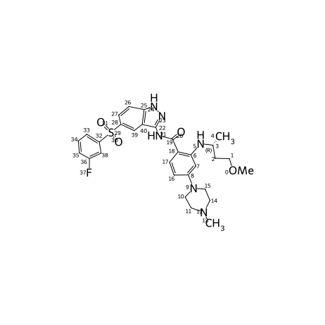 COCC[C@@H](C)Nc1cc(N2CCN(C)CC2)ccc1C(=O)Nc1n[nH]c2ccc(S(=O)(=O)c3cccc(F)c3)cc12